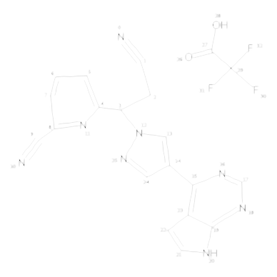 N#CCC(c1cccc(C#N)n1)n1cc(-c2ncnc3[nH]ccc23)cn1.O=C(O)C(F)(F)F